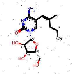 CC(=Cc1cn([C@@H]2O[C@H](CO)[C@@H](O)[C@H]2O)c(=O)nc1N)CCC#N